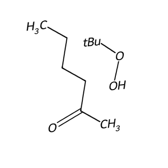 CC(C)(C)OO.CCCCC(C)=O